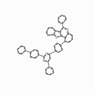 c1ccc(-c2ccc(-c3nc(-c4ccccc4)cc(-c4ccc(-c5cccc6nc(-c7ccccc7)c7c8ccccc8sc7c56)cc4)n3)cc2)cc1